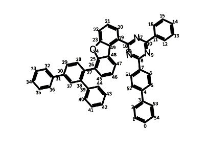 c1ccc(-c2ccc(-c3nc(-c4ccccc4)nc(-c4cccc5oc6c(-c7ccc(-c8ccccc8)cc7-c7ccccc7)cccc6c45)n3)cc2)cc1